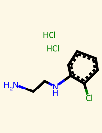 Cl.Cl.NCCNc1ccccc1Cl